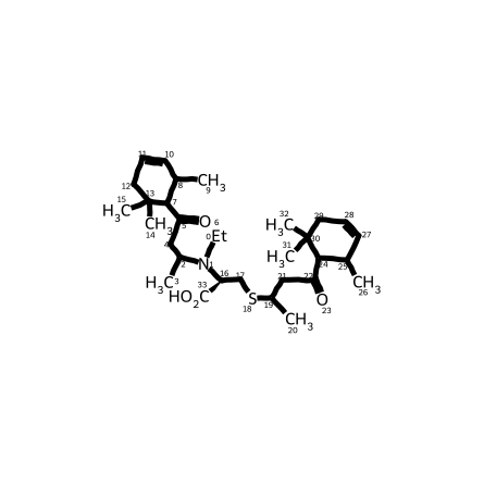 CCN(C(C)CC(=O)C1C(C)C=CCC1(C)C)[C@@H](CSC(C)CC(=O)C1C(C)C=CCC1(C)C)C(=O)O